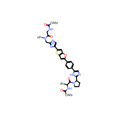 CCCN(Cc1nc(-c2cc3oc(-c4ccc(-c5cnc(C6CCCN6C(=O)C(NC(=O)OC)C(C)C)[nH]5)cc4)cc3s2)c[nH]1)C(=O)CNC(=O)OC